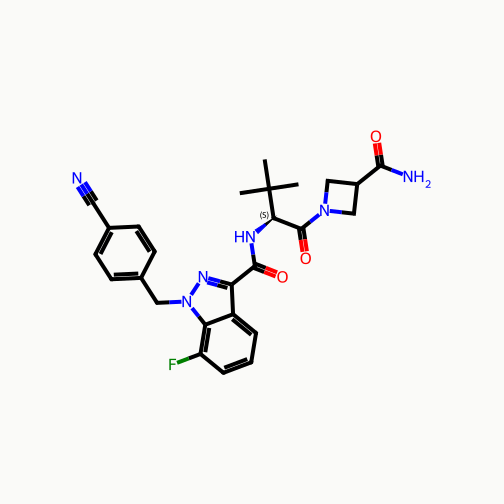 CC(C)(C)[C@H](NC(=O)c1nn(Cc2ccc(C#N)cc2)c2c(F)cccc12)C(=O)N1CC(C(N)=O)C1